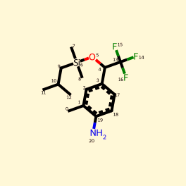 Cc1cc(C(O[Si](C)(C)CC(C)C)C(F)(F)F)ccc1N